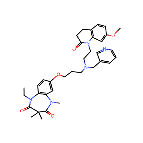 CCN1C(=O)C(C)(C)C(=O)N(C)c2cc(OCCCN(CCN3C(=O)CCc4ccc(OC)cc43)Cc3cccnc3)ccc21